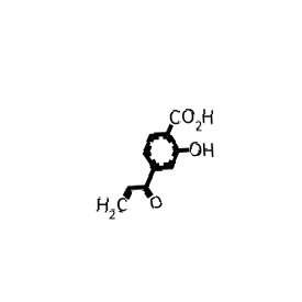 C=CC(=O)c1ccc(C(=O)O)c(O)c1